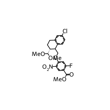 COC(=O)c1cc([N+](=O)[O-])c(OCC2c3ccc(Cl)cc3CC[C@H]2C(OC)OC)cc1F